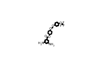 Nc1cc(N)cc(C(=O)OC2CCC(OCOc3ccc(OC(F)(F)F)cc3)CC2)c1